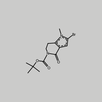 Cn1c(Br)cc2c1CCN(C(=O)OC(C)(C)C)C2=O